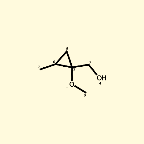 COC1(CO)CC1C